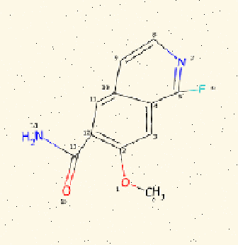 COc1cc2c(F)nccc2cc1C(N)=O